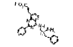 N[C@H](CNc1nc(-c2ccncc2)nc2c(C=CC(=O)O)csc12)Cc1ccccc1